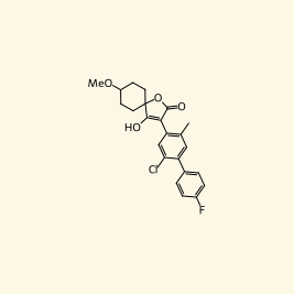 COC1CCC2(CC1)OC(=O)C(c1cc(Cl)c(-c3ccc(F)cc3)cc1C)=C2O